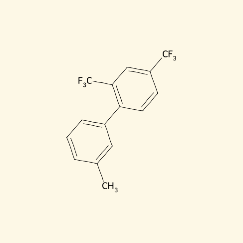 Cc1cccc(-c2ccc(C(F)(F)F)cc2C(F)(F)F)c1